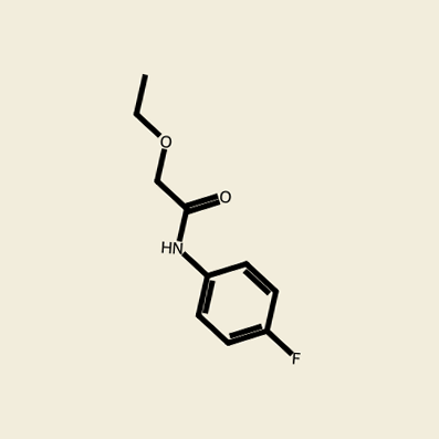 CCOCC(=O)Nc1ccc(F)cc1